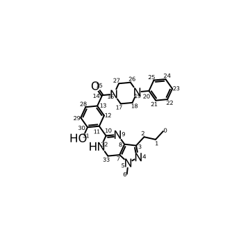 CCCc1nn(C)c2c1N=C(c1cc(C(=O)N3CCN(c4ccccc4)CC3)ccc1O)NC2